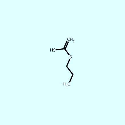 C=C(S)SCCC